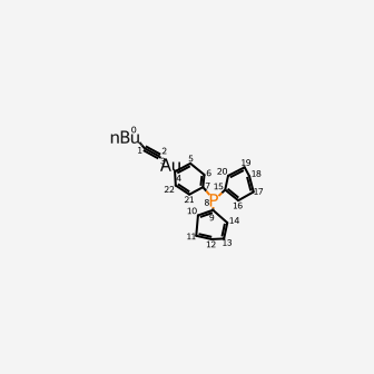 CCCCC#[C][Au].c1ccc(P(c2ccccc2)c2ccccc2)cc1